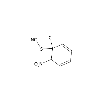 N#CSC1(Cl)C=CC=CC1[N+](=O)[O-]